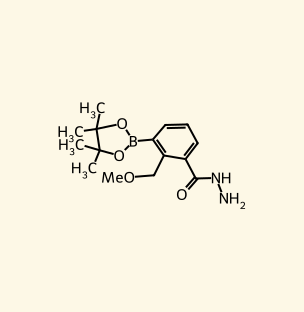 COCc1c(B2OC(C)(C)C(C)(C)O2)cccc1C(=O)NN